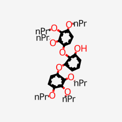 CCCOc1ccc(Oc2cccc(O)c2Oc2ccc(OCCC)c(OCCC)c2OCCC)c(OCCC)c1OCCC